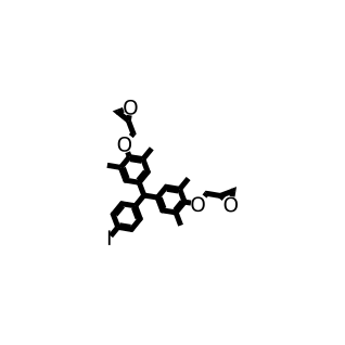 Cc1cc(C(c2ccc(I)cc2)c2cc(C)c(OCC3CO3)c(C)c2)cc(C)c1OCC1CO1